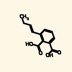 CCC=Cc1cccc(C(=O)O)c1C(=O)O